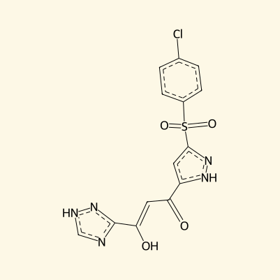 O=C(C=C(O)c1nc[nH]n1)c1cc(S(=O)(=O)c2ccc(Cl)cc2)n[nH]1